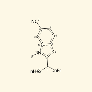 CCCCCCC(CCC)c1cc2ccc(C#N)cc2n1C